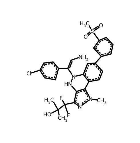 Cn1nc(C(F)(F)C(C)(C)O)c2c1-c1ccc(-c3cccc(S(C)(=O)=O)c3)cc1N(/C(=C\N)c1ccc(Cl)cc1)N2